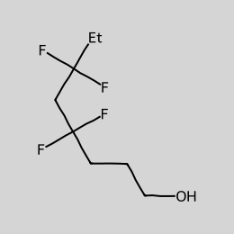 CCC(F)(F)CC(F)(F)CCCO